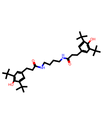 CC(C)(C)c1cc(CCC(=O)NCCCCNC(=O)CCc2cc(C(C)(C)C)c(O)c(C(C)(C)C)c2)cc(C(C)(C)C)c1O